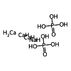 O=P(O)(O)O.O=P(O)(O)O.[CaH2].[CaH2].[CaH2].[NaH]